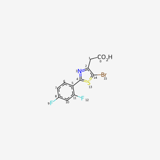 O=C(O)Cc1nc(-c2ccc(F)cc2F)sc1Br